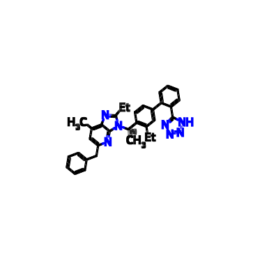 CCc1cc(-c2ccccc2-c2nnn[nH]2)ccc1[C@H](C)n1c(CC)nc2c(C)cc(Cc3ccccc3)nc21